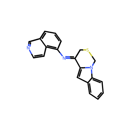 c1cc(N=C2CSCn3c2cc2ccccc23)c2ccncc2c1